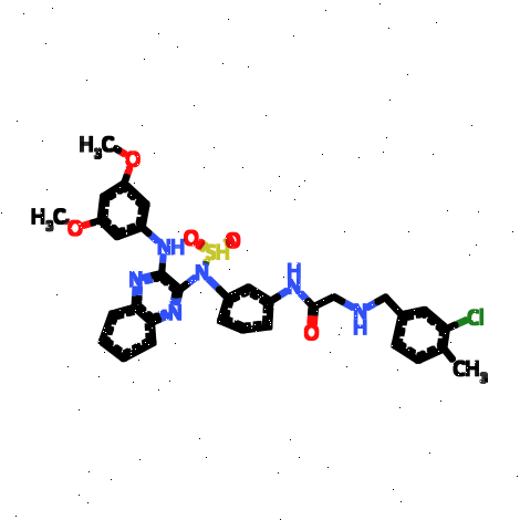 COc1cc(Nc2nc3ccccc3nc2N(c2cccc(NC(=O)CNCc3ccc(C)c(Cl)c3)c2)[SH](=O)=O)cc(OC)c1